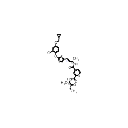 COC(=O)[C@H](C)NC(=O)c1cc(C(=O)N[C@@H](C)/C=C/c2cnc(Oc3ccc(OCC4CC4)cc3Cl)s2)ccn1